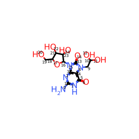 Nc1nc2c(c(=O)[nH]1)n(CC(O)O)c(=O)n2C1OC(CO)C(O)C1O